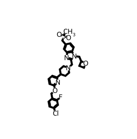 CS(=O)(=O)Cc1ccc2c(c1)nc(CN1CCC(c3cccc(OCc4ccc(Cl)cc4F)n3)CC1)n2CC1CCO1